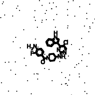 Nc1ccc(C(=O)N2CCC(Nc3ncc(Cl)c(-c4c[nH]c5ccccc45)n3)CC2)cc1F